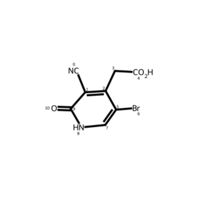 N#Cc1c(CC(=O)O)c(Br)c[nH]c1=O